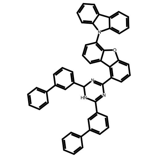 c1ccc(-c2cccc(C3=NC(c4cccc5oc6c(-n7c8ccccc8c8ccccc87)cccc6c45)=NC(c4cccc(-c5ccccc5)c4)N3)c2)cc1